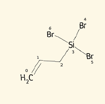 C=CC[Si](Br)(Br)Br